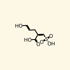 O=C(O)C(=CS(=O)(=O)O)CC=CO